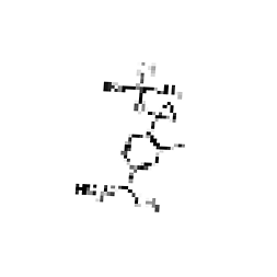 CC(C(=O)O)c1ccc(C2(O[Si](C)(C)C(C)(C)C)CC2)c(F)c1